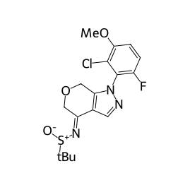 COc1ccc(F)c(-n2ncc3c2COCC3=N[S+]([O-])C(C)(C)C)c1Cl